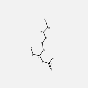 C=C(C)CC(CC)CCCCCC